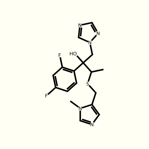 CC(SCc1cncn1C)C(O)(Cn1cncn1)c1ccc(F)cc1F